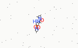 CC1=C(C(=O)N2CC(C)CC(C)C2)NC2CC=C(S(=O)(=O)N3CCC(C)CC3)CC12